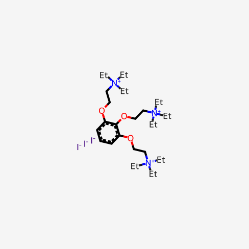 CC[N+](CC)(CC)CCOc1cccc(OCC[N+](CC)(CC)CC)c1OCC[N+](CC)(CC)CC.[I-].[I-].[I-]